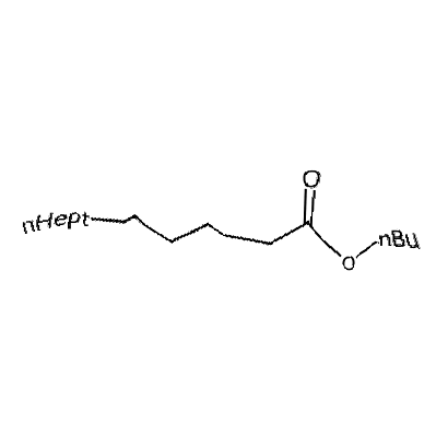 [CH2]C[CH]COC(=O)CCCCCCCCCCC